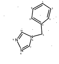 [c]1cccc(Cn2cnnc2)c1